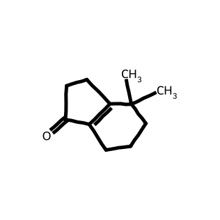 CC1(C)CCCC2=C1CCC2=O